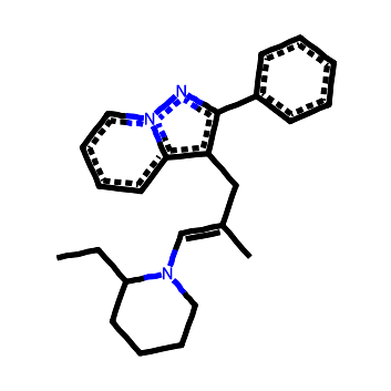 CCC1CCCCN1C=C(C)Cc1c(-c2ccccc2)nn2ccccc12